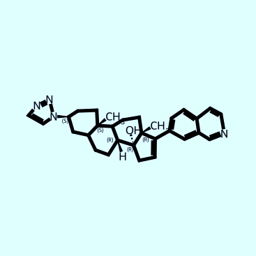 C[C@]12CC[C@H](n3ccnn3)CC1CC[C@@H]1C2CC[C@]2(C)C(c3ccc4ccncc4c3)=CC[C@@]12O